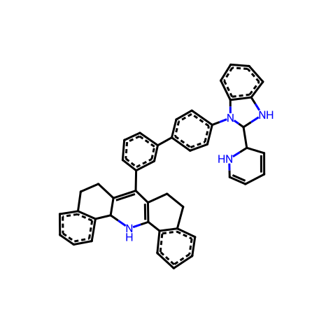 C1=CNC(C2Nc3ccccc3N2c2ccc(-c3cccc(C4=C5CCc6ccccc6C5NC5=C4CCc4ccccc45)c3)cc2)C=C1